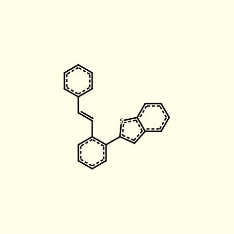 C(=Cc1ccccc1-c1cc2ccccc2s1)c1ccccc1